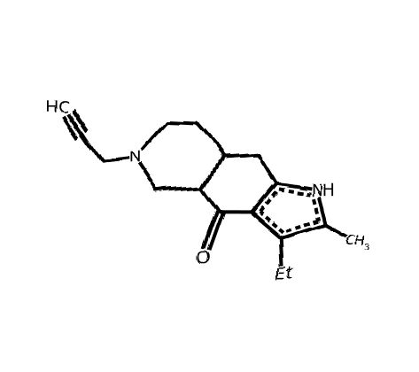 C#CCN1CCC2Cc3[nH]c(C)c(CC)c3C(=O)C2C1